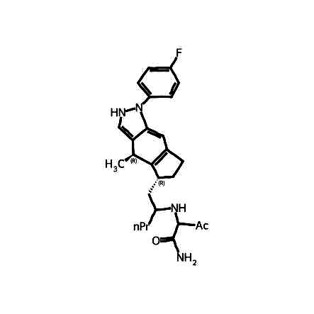 CCCC(C[C@H]1CCC2=C1[C@@H](C)C1=CNN(c3ccc(F)cc3)C1=C2)NC(C(C)=O)C(N)=O